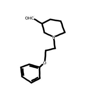 O=CC1CCCN(CCOc2ccccc2)C1